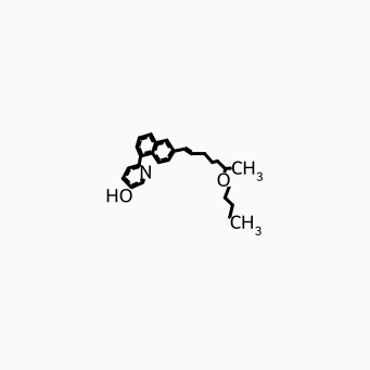 CCCCCOC(C)CCCC=Cc1ccc2c(-c3ccc(O)cn3)cccc2c1